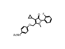 CC(=O)Nc1ccc(OCc2c(C3CC3)c(=O)n(-c3ccccc3F)n2C)cc1